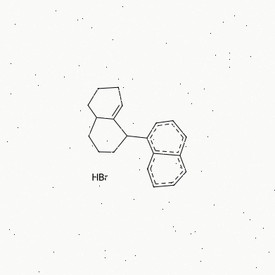 Br.C1=C2C(CCC1)CCCC2c1cccc2ccccc12